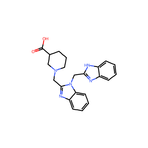 O=C(O)C1CCCN(Cc2nc3ccccc3n2Cc2nc3ccccc3[nH]2)C1